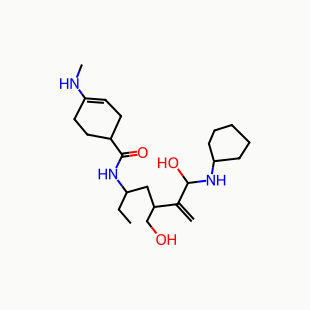 C=C(C(CO)CC(CC)NC(=O)C1CC=C(NC)CC1)C(O)NC1CCCCC1